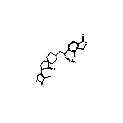 CC1=C(N2CCC3(CCN(CC(N=[N+]=[N-])c4ccc5c(c4C)COC5=O)CC3)C2=O)COC1=O